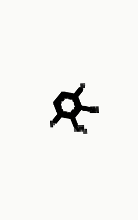 Nc1c(F)ccc(F)c1S